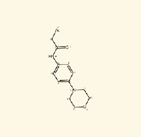 CC(=O)CC(=O)Nc1ccc(N2CCOCC2)cc1